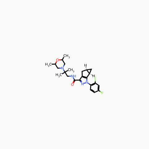 CC1CN(C(C)(C)CNC(=O)c2nn(-c3ccc(F)cc3F)c3c2C[C@H]2C[C@@H]32)CC(C)O1